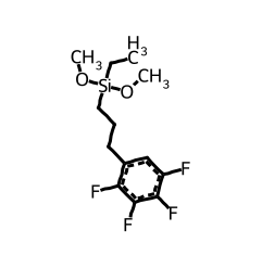 CC[Si](CCCc1cc(F)c(F)c(F)c1F)(OC)OC